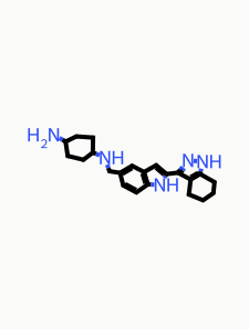 NC1CCC(NCc2ccc3[nH]c(-c4n[nH]c5c4CCCC5)cc3c2)CC1